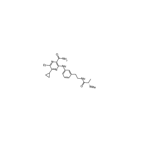 CCc1nc(C(N)=O)c(Nc2cccc(CCNC(=O)[C@H](C)NC)c2)nc1C1CC1